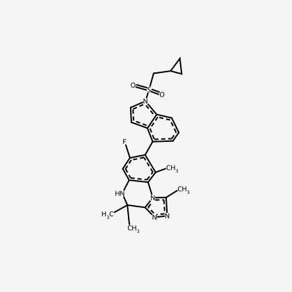 Cc1c(-c2cccc3c2ccn3S(=O)(=O)CC2CC2)c(F)cc2c1-n1c(C)nnc1C(C)(C)N2